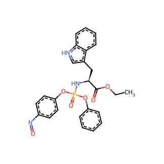 CCOC(=O)[C@H](Cc1c[nH]c2ccccc12)NP(=O)(Oc1ccccc1)Oc1ccc(N=O)cc1